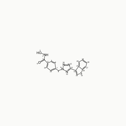 O=C(NO)c1ccc(Cn2nnc(-c3csc4ccccc34)n2)cc1